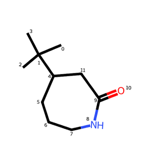 CC(C)(C)C1CCCNC(=O)C1